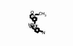 CCCN1C(=O)CCc2cc(CNS(=O)(=O)Cc3ccc(C#N)cc3F)ccc21